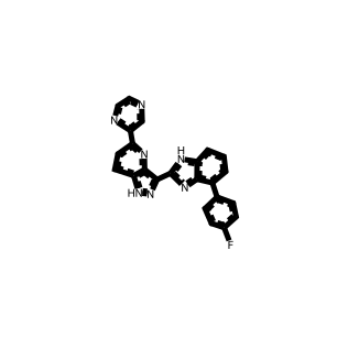 Fc1ccc(-c2cccc3[nH]c(-c4n[nH]c5ccc(-c6cnccn6)nc45)nc23)cc1